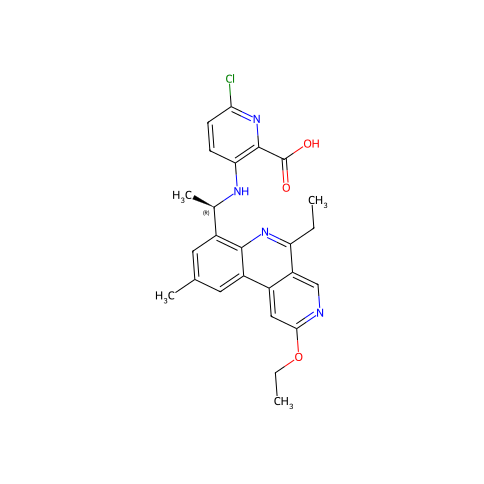 CCOc1cc2c(cn1)c(CC)nc1c([C@@H](C)Nc3ccc(Cl)nc3C(=O)O)cc(C)cc12